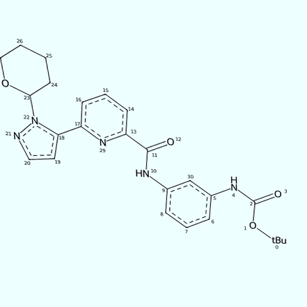 CC(C)(C)OC(=O)Nc1cccc(NC(=O)c2cccc(-c3ccnn3C3CCCCO3)n2)c1